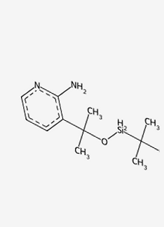 CC(C)(C)[SiH2]OC(C)(C)c1cccnc1N